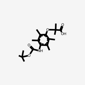 Cc1c(C)c(OC(C)(C)C(=O)O)c(C)c(C)c1NC(=O)OC(C)(C)C